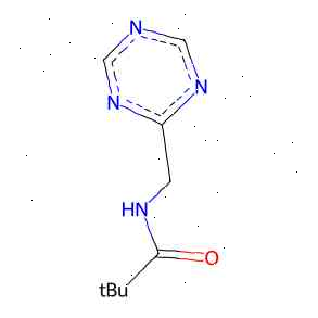 CC(C)(C)C(=O)NCc1ncncn1